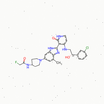 Cc1cc(N2CCC(NC(=O)CF)CC2)cc2[nH]c(-c3c(NC[C@@H](O)c4cccc(Cl)c4)cc[nH]c3=O)nc12